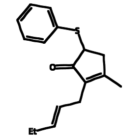 CCC=CCC1=C(C)CC(Sc2ccccc2)C1=O